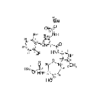 Cn1ncc(NC(=O)c2nc(-c3c(F)cccc3F)sc2NC(=O)OC(C)(C)C)c1N1CC[C@H](O)[C@H](NC(=O)OC(C)(C)C)CC1